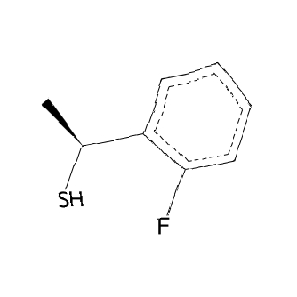 C[C@H](S)c1ccccc1F